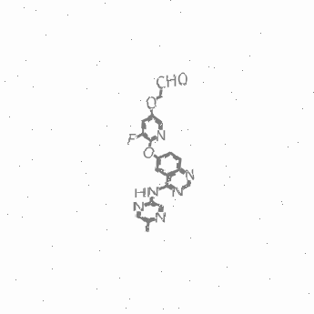 Cc1cnc(Nc2ncnc3ccc(Oc4ncc(OCC=O)cc4F)cc23)cn1